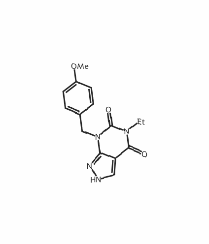 CCn1c(=O)c2c[nH]nc2n(Cc2ccc(OC)cc2)c1=O